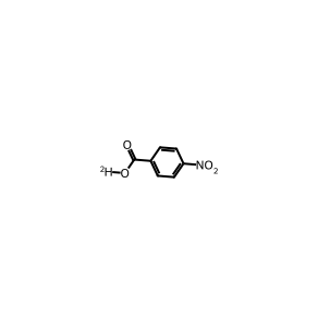 [2H]OC(=O)c1ccc([N+](=O)[O-])cc1